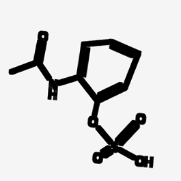 CC(=O)Nc1ccccc1OS(=O)(=O)O